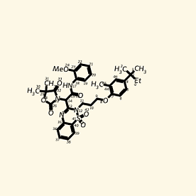 CCC(C)(C)c1ccc(OCCCN2C(C(C(=O)Nc3ccccc3OC)N3C(=O)OC(C)(C)C3=O)=Nc3ccccc3S2(=O)=O)c(C)c1